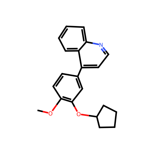 COc1ccc(-c2ccnc3ccccc23)cc1OC1CCCC1